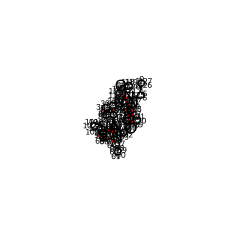 c1ccc(-c2cccc(-c3nc(-c4ccc5oc6ccccc6c5c4)nc(-c4c(-n5c6cc7ccccc7cc6c6cc7c(-c8ccc9c(c8)oc8ccc(-n%10c%11cc%12ccccc%12cc%11c%11c%12ccccc%12ccc%11%10)c(-c%10nc(-c%11cccc%12ccccc%11%12)nc(-c%11cccc%12c%11sc%11ccccc%11%12)n%10)c89)cccc7cc65)ccc5oc6ccccc6c45)n3)c2)cc1